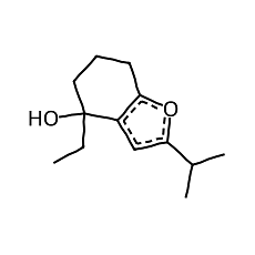 CCC1(O)CCCc2oc(C(C)C)cc21